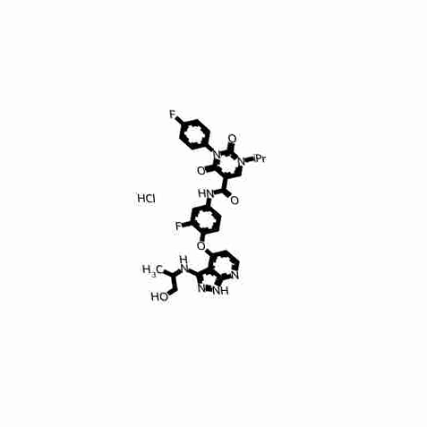 CC(CO)Nc1n[nH]c2nccc(Oc3ccc(NC(=O)c4cn(C(C)C)c(=O)n(-c5ccc(F)cc5)c4=O)cc3F)c12.Cl